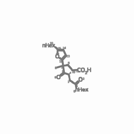 CCCCCCC(=O)CCC(=O)C(C)(CCC(=O)O)c1ccc(CCCCCC)o1